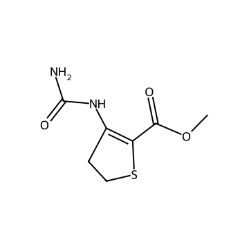 COC(=O)C1=C(NC(N)=O)CCS1